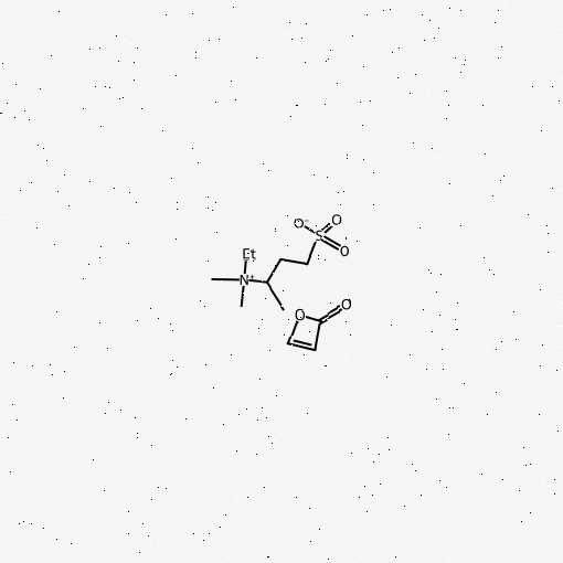 CC[N+](C)(C)C(C)CCS(=O)(=O)[O-].O=C1C=CO1